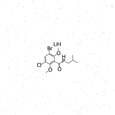 COc1c(Cl)cc(Br)c(OC)c1C(=O)PCC(C)C.[LiH]